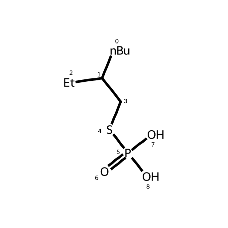 CCCCC(CC)CSP(=O)(O)O